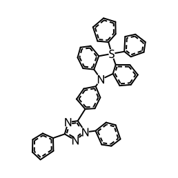 c1ccc(-c2nc(-c3ccc(N4c5ccccc5S(c5ccccc5)(c5ccccc5)c5ccccc54)cc3)n(-c3ccccc3)n2)cc1